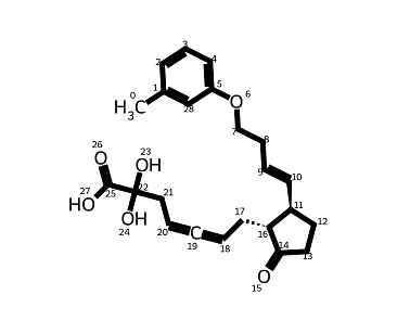 Cc1cccc(OCC/C=C/[C@H]2CCC(=O)[C@@H]2CC=C=CCC(O)(O)C(=O)O)c1